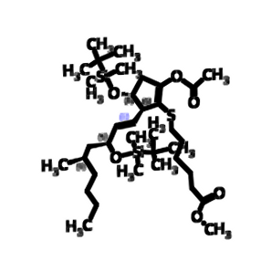 CCCC[C@@H](C)C[C@@H](/C=C/[C@@H]1C(SCCCCCC(=O)OC)=C(OC(C)=O)C[C@H]1O[Si](C)(C)C(C)(C)C)O[Si](C)(C)C(C)(C)C